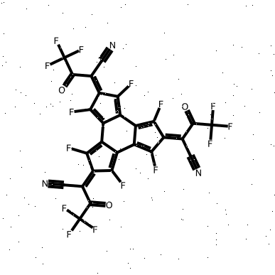 N#CC(C(=O)C(F)(F)F)=C1C(F)=c2c3c(c4c(c2=C1F)=C(F)C(=C(C#N)C(=O)C(F)(F)F)C=4F)=C(F)C(=C(C#N)C(=O)C(F)(F)F)C=3F